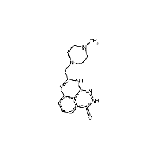 CN1CCN(CC2=Nc3cccc4c(=O)[nH]nc(c34)N2)CC1